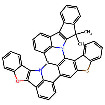 CC1(C)c2ccccc2-c2c1n1c3c(cccc23)B2c3c(cc4sc5ccccc5c4c3-1)-c1cccc3c4oc5ccccc5c4n2c13